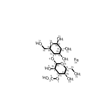 O=C(O)O[C@@H]1[C@@H](O)[C@@H](O[C@H]2[C@H](O)[C@@H](O)[C@H](O)O[C@@H]2CO)O[C@H](CO)[C@H]1O.[Fe]